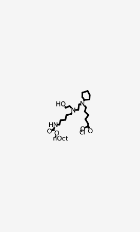 CCCCCCCCOC(=O)NCCCCCN(CCO)CCN(CCCCCC(=O)OCl)C1CCCCC1